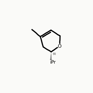 CC1=CCO[C@H](C(C)C)C1